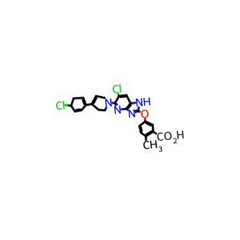 Cc1ccc(Oc2nc3nc(N4CC=C(C5=CCC(Cl)C=C5)CC4)c(Cl)cc3[nH]2)cc1C(=O)O